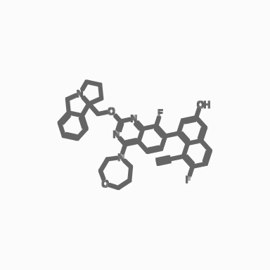 C#Cc1c(F)ccc2cc(O)cc(-c3ccc4c(N5CCCOCC5)nc(OCC56CCCN5Cc5ccccc56)nc4c3F)c12